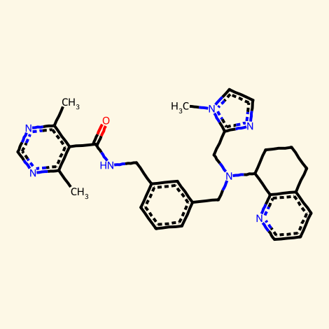 Cc1ncnc(C)c1C(=O)NCc1cccc(CN(Cc2nccn2C)C2CCCc3cccnc32)c1